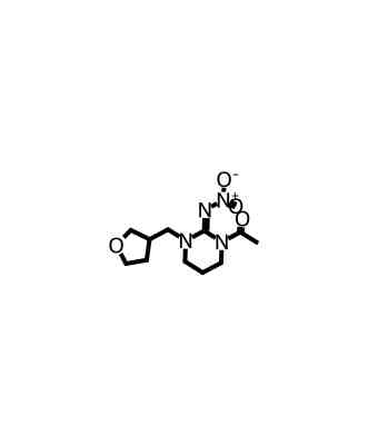 CC(=O)N1CCCN(CC2CCOC2)/C1=N/[N+](=O)[O-]